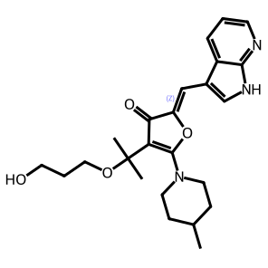 CC1CCN(C2=C(C(C)(C)OCCCO)C(=O)/C(=C/c3c[nH]c4ncccc34)O2)CC1